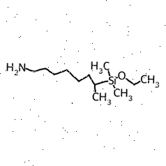 CCO[Si](C)(C)C(C)CCCCCCN